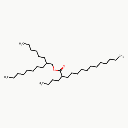 CCCCCCCCCCCCC(CCCC)C(=O)OCC(CCCCCC)CCCCCCCC